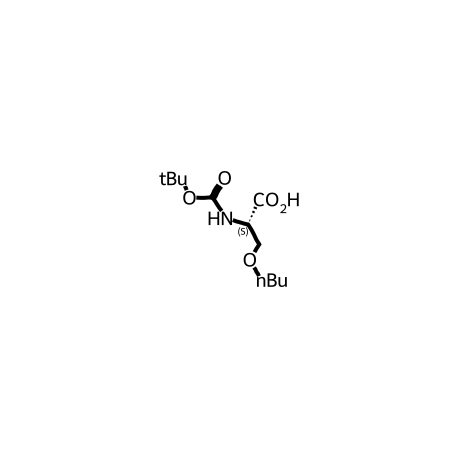 CCCCOC[C@H](NC(=O)OC(C)(C)C)C(=O)O